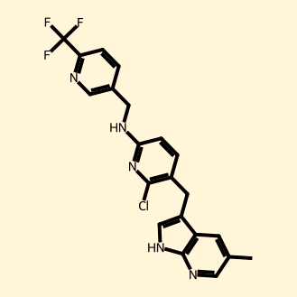 Cc1cnc2[nH]cc(Cc3ccc(NCc4ccc(C(F)(F)F)nc4)nc3Cl)c2c1